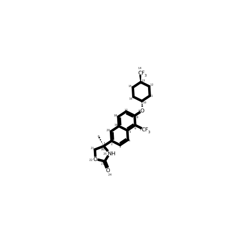 C[C@@]1(c2ccc3c(C(F)(F)F)c(O[C@H]4CC[C@H](C(F)(F)F)CC4)ccc3c2)COC(=O)N1